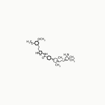 COc1cc(CCc2cc(NC(=O)c3ccc(N4C[C@@H](C)N(CCCN5C[C@H](N)C(C)(C)C5)[C@@H](C)C4)cc3)n[nH]2)cc(OC)c1